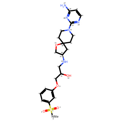 CNS(=O)(=O)c1cccc(OCC(O)CN[C@H]2COC3(CCN(c4nccc(N)n4)CC3)C2)c1